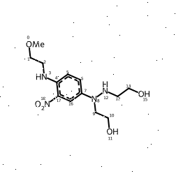 COCCNc1ccc(N(CCO)NCCO)cc1[N+](=O)[O-]